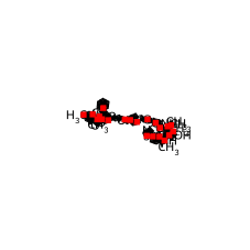 Cc1cc(C)c(C2=C(OCc3ccccc3)C3(CCC(OCCOCCN4CCN(CCOCCOCC(=O)N[C@H](C(=O)N5C[C@H](O)C[C@H]5C(=O)N[C@@H](C)c5ccc(-c6scnc6C)cc5)C(C)(C)C)CC4)CC3)OC2=O)c(C)c1